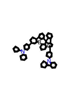 c1ccc(N(c2ccccc2)c2ccc(-c3ccc4c(c3)B3c5ccccc5C5(c6ccccc6-c6ccc(-c7ccc(-n8c9ccccc9c9ccccc98)cc7)cc65)c5cccc-4c53)cc2)cc1